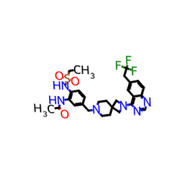 CCS(=O)(=O)Nc1ccc(CN2CCC3(CC2)CN(c2ncnc4ccc(CC(F)(F)F)cc24)C3)cc1NC(C)=O